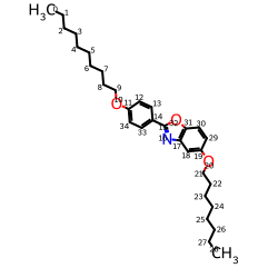 CCCCCCCCCCOc1ccc(-c2nc3cc(OCCCCCCCC)ccc3o2)cc1